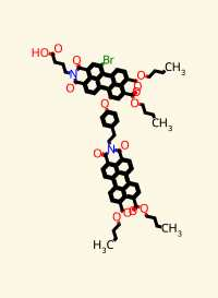 CCCCOC(=O)c1ccc2c3ccc4c5c(ccc(c6ccc(C(=O)OCCCC)c1c26)c53)C(=O)N(CCc1ccc(Oc2cc(C(=O)OCCCC)c3c(C(=O)OCCCC)ccc5c6c(Br)cc7c8c(ccc(c2c35)c86)C(=O)N(CCCC(=O)O)C7=O)cc1)C4=O